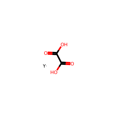 O=C(O)C(=O)O.[Y]